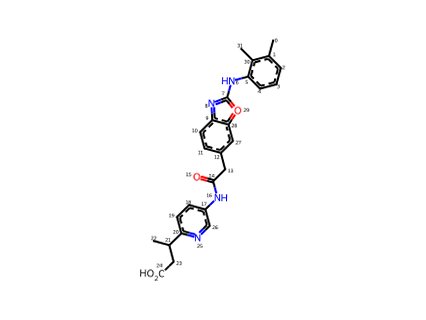 Cc1cccc(Nc2nc3ccc(CC(=O)Nc4ccc(C(C)CC(=O)O)nc4)cc3o2)c1C